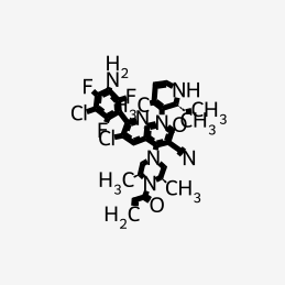 C=CC(=O)N1[C@H](C)CN(c2c(C#N)c(=O)n(C3=C(C)C=CN[C@@H]3C(C)C)c3nc(-c4c(F)c(N)c(F)c(Cl)c4F)c(Cl)cc23)C[C@@H]1C